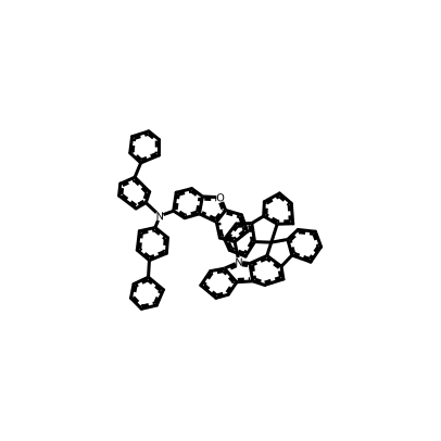 c1ccc(-c2ccc(N(c3cccc(-c4ccccc4)c3)c3ccc4oc5ccc(-n6c7ccccc7c7ccc8c(c76)C6(c7ccccc7-c7ccccc76)c6ccccc6-8)cc5c4c3)cc2)cc1